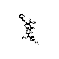 CO/N=C(\C(=O)NC1C(=O)N2C(C(=O)O)=C(SCC3CCCO3)CS[C@@H]12)c1csc(N)n1